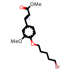 COC(=O)/C=C/c1ccc(OCCCCCBr)c(OC)c1